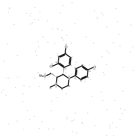 COC[C@@H]1[C@H](c2ccc(Cl)cc2Cl)N(c2ccc(Cl)cc2)CCN1C